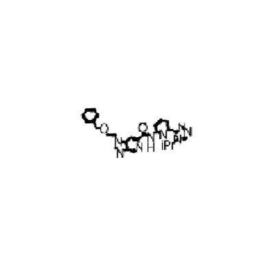 CC(C)n1cnnc1-c1cccc(NC(=O)c2cc3c(cn2)ncn3CCOCc2ccccc2)n1